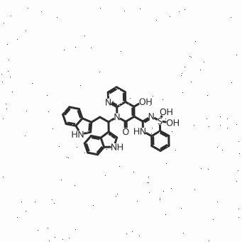 O=c1c(C2=NS(O)(O)c3ccccc3N2)c(O)c2cccnc2n1C(Cc1c[nH]c2ccccc12)c1c[nH]c2ccccc12